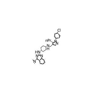 CCCc1c(CN[C@H]2CC[C@@H](Nc3nc(N(C)C)c4ccccc4n3)CC2)cnn1-c1ccc(Cl)cc1